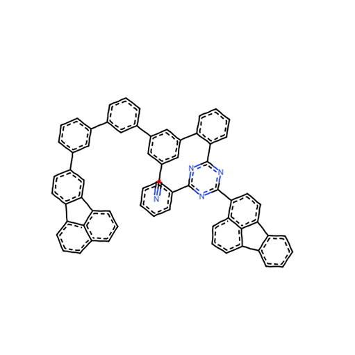 N#Cc1cc(-c2cccc(-c3cccc(-c4ccc5c(c4)-c4cccc6cccc-5c46)c3)c2)cc(-c2ccccc2-c2nc(-c3ccccc3)nc(-c3ccc4c5c(cccc35)-c3ccccc3-4)n2)c1